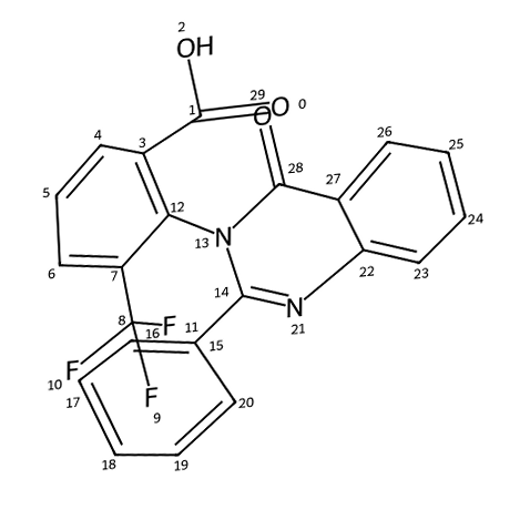 O=C(O)c1cccc(C(F)(F)F)c1-n1c(-c2ccccc2)nc2ccccc2c1=O